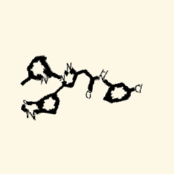 Cc1cccc(-n2nc(CC(=O)Nc3cccc(Cl)c3)cc2-c2ccc3ncsc3c2)n1